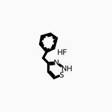 C1=CC(Cc2ccccc2)=NNS1.F